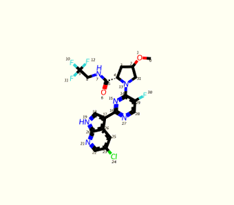 COC1C[C@@H](C(=O)NCC(F)(F)F)N(c2nc(-c3c[nH]c4ncc(Cl)cc34)ncc2F)C1